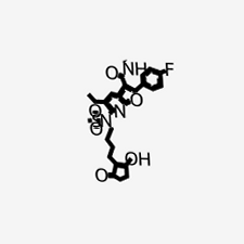 CCc1cc2c(C(=O)NC)c(-c3ccc(F)cc3)oc2nc1N(CCCCC1=C(O)CCC1=O)S(C)(=O)=O